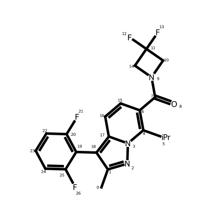 Cc1nn2c(C(C)C)c(C(=O)N3CC(F)(F)C3)ccc2c1-c1c(F)cccc1F